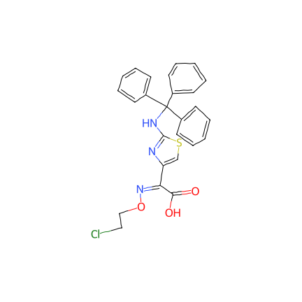 O=C(O)C(=NOCCCl)c1csc(NC(c2ccccc2)(c2ccccc2)c2ccccc2)n1